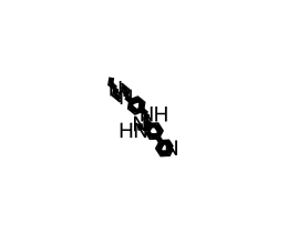 CCN1CCN(c2ccc(Nc3n[nH]c4cc(-c5cccnc5)ccc34)cc2)CC1